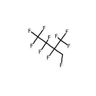 FCC(F)(C(F)(F)F)C(F)(F)C(F)(F)F